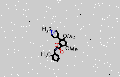 COc1cc(OC)c(C2=CCN(C)CC2)c2c1C(=O)/C(=C\c1ccccc1C)O2